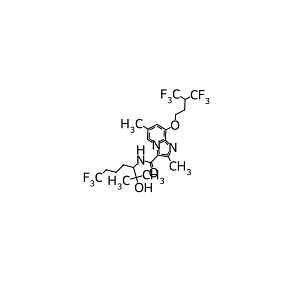 Cc1cc(OCCC(C(F)(F)F)C(F)(F)F)c2nc(C)c(C(=O)NC(CCCC(F)(F)F)C(C)(C)O)n2c1